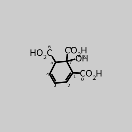 O=C(O)C1=CC=CC(C(=O)O)C1(O)C(=O)O